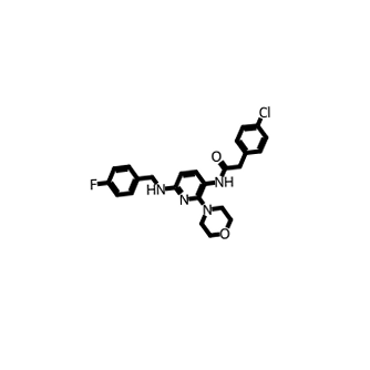 O=C(Cc1ccc(Cl)cc1)Nc1ccc(NCc2ccc(F)cc2)nc1N1CCOCC1